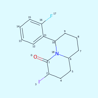 O=C1C(I)CCC2CCCC(c3ccccc3F)N12